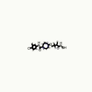 Cc1cc(NC(=O)/C2=C/C/C=C(OCC(C)(C)C(C)C(=O)NO)\C=C/C2)ccc1Cl